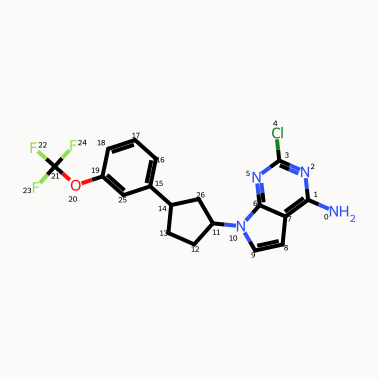 Nc1nc(Cl)nc2c1ccn2C1CCC(c2cccc(OC(F)(F)F)c2)C1